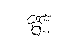 CCCCCCN1C2CCCC(c3cccc(O)c3)(C2)C1C.Cl